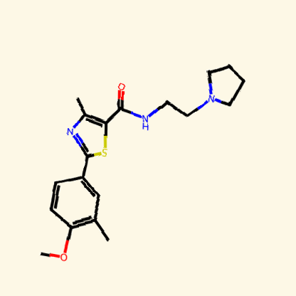 COc1ccc(-c2nc(C)c(C(=O)NCCN3CCCC3)s2)cc1C